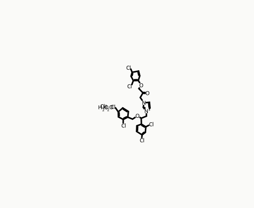 O.O.O=C(COc1ccc(Cl)cc1Cl)Cn1cc[n+](CC(OCc2ccc(Cl)cc2Cl)c2ccc(Cl)cc2Cl)c1.[Cl-]